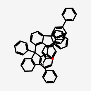 C1=CC(C2(c3ccccc3)c3ccccc3C3(c4ccccc4)c4ccccc4-c4cccc2c43)=C(N(c2ccccc2)c2ccc(-c3ccc(-c4ccccc4)cc3)cc2)CC1